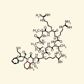 CC[C@H](C)[C@H](NC(=O)[C@H](CCCNC(=N)N)NC(=O)[C@H](CCCNC(=N)N)NC(=O)[C@H](C)NC(=O)[C@H](C)N)C(=O)N[C@@H](CC(=O)O)C(=O)N[C@@H](CCCNC(=N)N)C(=O)N[C@H](C(=O)N(C1CCCCC1)[C@]([C]=O)(Cc1ccccc1)C(=O)CCS)[C@@H](C)CC